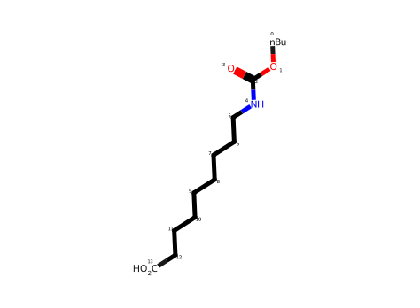 CCCCOC(=O)NCCCCCCCCC(=O)O